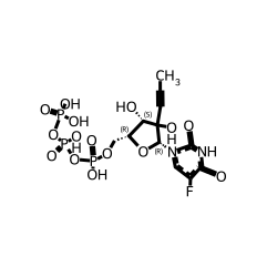 CC#CC1(O)[C@@H](O)[C@@H](COP(=O)(O)OP(=O)(O)OP(=O)(O)O)O[C@H]1n1cc(F)c(=O)[nH]c1=O